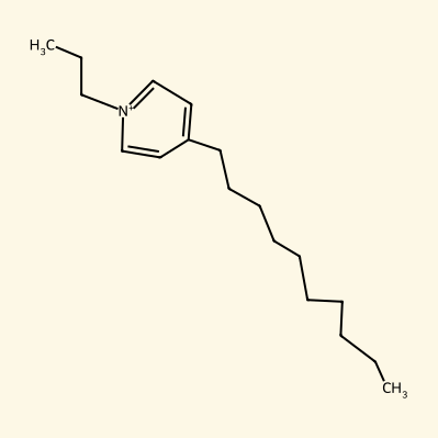 CCCCCCCCCCc1cc[n+](CCC)cc1